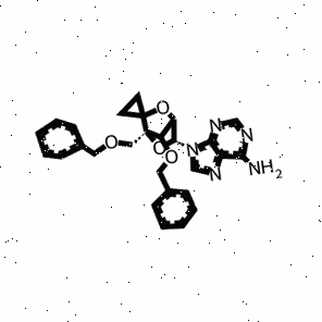 Nc1ncnc2c1ncn2[C@@H]1O[C@]2(COCc3ccccc3)C(OCc3ccccc3)C1OC21CC1